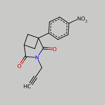 C#CCN1C(=O)C2CC(c3ccc([N+](=O)[O-])cc3)(C2)C1=O